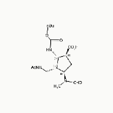 CCCCOC(=O)N[C@H]1[C@@H](CNC(C)=O)[C@H](N(C)C=O)C[C@@H]1C(=O)O